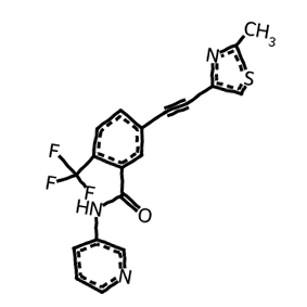 Cc1nc(C#Cc2ccc(C(F)(F)F)c(C(=O)Nc3cccnc3)c2)cs1